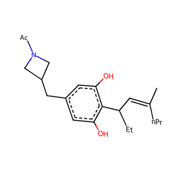 CCC/C(C)=C\C(CC)c1c(O)cc(CC2CN(C(C)=O)C2)cc1O